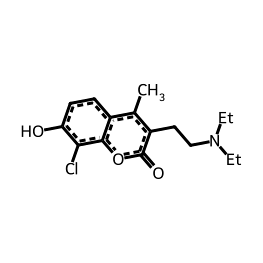 CCN(CC)CCc1c(C)c2ccc(O)c(Cl)c2oc1=O